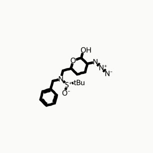 CC(C)(C)[S+]([O-])N(Cc1ccccc1)CC1CCC(N=[N+]=[N-])C(O)O1